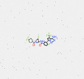 Nc1ncnn2c(-c3cc(C(=O)N[C@@H]4CN(C(=O)C5CCC(F)(F)CC5)C[C@@H]4F)ccc3F)cc(C(F)(F)F)c12